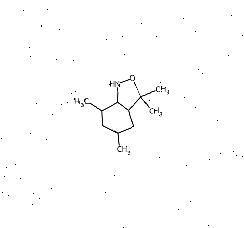 CC1CC(C)C2NOC(C)(C)C2C1